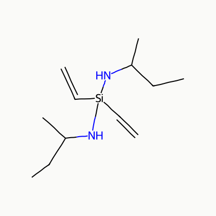 C=C[Si](C=C)(NC(C)CC)NC(C)CC